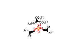 CCCCC(CC)COP(=O)(O)OCC(CC)CCCC.CCOC(=O)C(NC(C)=O)C(=O)OCC